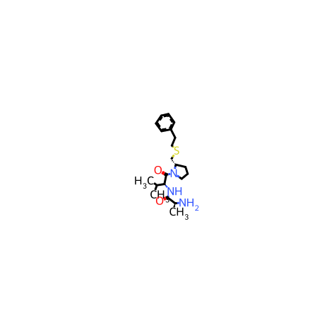 CC(C)[C@H](NC(=O)[C@H](C)N)C(=O)N1CCC[C@H]1CSCCc1ccccc1